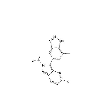 Cc1ccc2nn(C(C)C)c(-c3cc(C)c4[nH]ncc4c3)c2n1